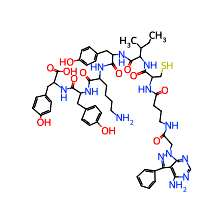 CCC(C)C(NC(=O)C(CS)NC(=O)CCCNC(=O)Cn1nc(-c2ccccc2)c2c(N)ncnc21)C(=O)NC(Cc1ccc(O)cc1)C(=O)NC(CCCCN)C(=O)NC(Cc1ccc(O)cc1)C(=O)NC(Cc1ccc(O)cc1)C(=O)O